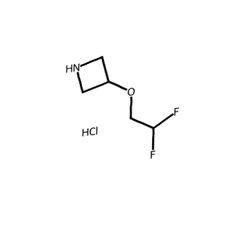 Cl.FC(F)COC1CNC1